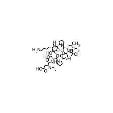 CC(C)C[C@H](NC(=O)[C@H](CC(=O)O)NC(=O)[C@@H]1CCCN1C(=O)[C@H](CO)NC(=O)[C@@H](N)CC(=O)O)C(=O)N1CCC[C@H]1C(=O)N[C@@H](CCCCN)C(=O)O